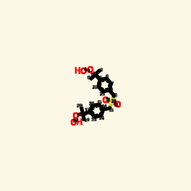 CC(C)(OO)c1ccc(CS(=O)(=O)Cc2ccc(C(C)(C)OO)cc2)cc1